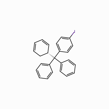 Ic1ccc(C(c2ccccc2)(c2ccccc2)[C@H]2C=CC=CC2)cc1